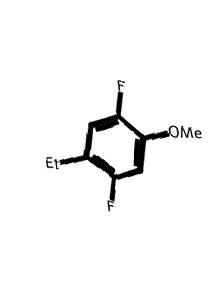 CCc1cc(F)c(OC)cc1F